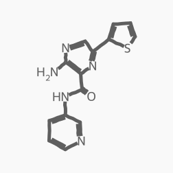 Nc1ncc(-c2cccs2)nc1C(=O)Nc1cccnc1